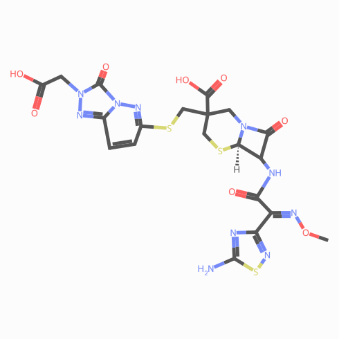 CON=C(C(=O)NC1C(=O)N2CC(CSc3ccc4nn(CC(=O)O)c(=O)n4n3)(C(=O)O)CS[C@H]12)c1nsc(N)n1